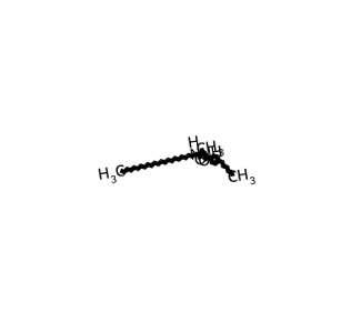 CCCCCCCCCCCCCCCCCCCCCCNC(=O)C(C)NC(=O)c1ccc(CCCCCC)cc1